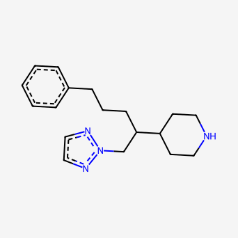 c1ccc(CCCC(Cn2nccn2)C2CCNCC2)cc1